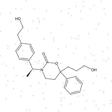 C[C@@H](c1ccc(CCO)cc1)N1CCC(CCCO)(c2ccccc2)OC1=O